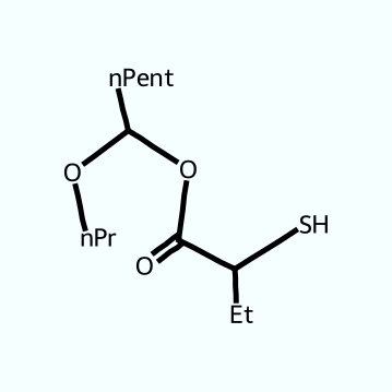 CCCCCC(OCCC)OC(=O)C(S)CC